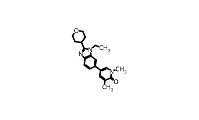 CCn1c(C2CCOCC2)nc2ccc(-c3cc(C)c(=O)n(C)c3)cc21